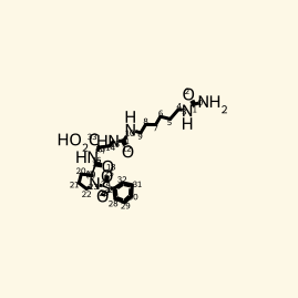 NC(=O)NCCCCCCNC(=O)NC[C@H](NC(=O)[C@@H]1CCCN1S(=O)(=O)c1ccccc1)C(=O)O